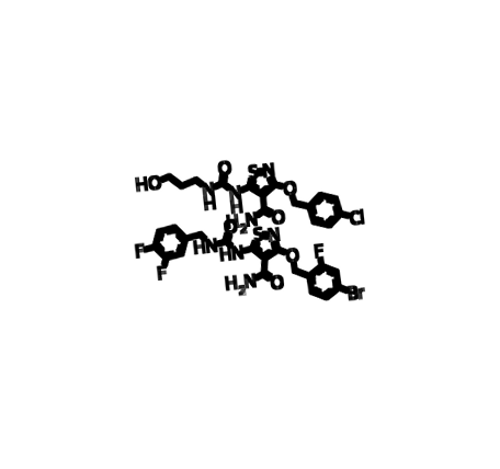 NC(=O)c1c(OCc2ccc(Br)cc2F)nsc1NC(=O)NCc1ccc(F)c(F)c1.NC(=O)c1c(OCc2ccc(Cl)cc2)nsc1NC(=O)NCCCO